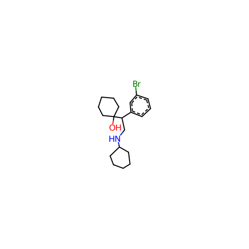 OC1(C(CNC2CCCCC2)c2cccc(Br)c2)CCCCC1